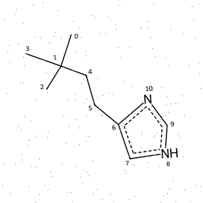 CC(C)(C)CCc1c[nH]cn1